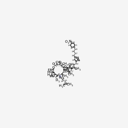 CC[C@H]1OC(=O)[C@H](C)C(=O)[C@H](C)[C@@H](O[C@@H]2O[C@H](C)C[C@H](N(C)CCc3cn(CCCCc4ccc([N+](=O)[O-])cc4)nn3)[C@H]2O)[C@](C)(OC)C[C@@H](C)/C(=N\OCCN(C)C)[C@H](C)[C@@H](O)[C@]1(C)O